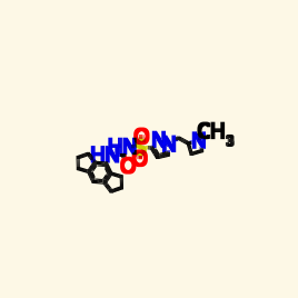 CN1CCC1Cn1ccc(S(=O)(=O)NC(=O)Nc2c3c(cc4c2CCC4)CCC3)n1